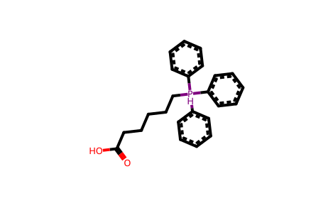 O=C(O)CCCCC[PH](c1ccccc1)(c1ccccc1)c1ccccc1